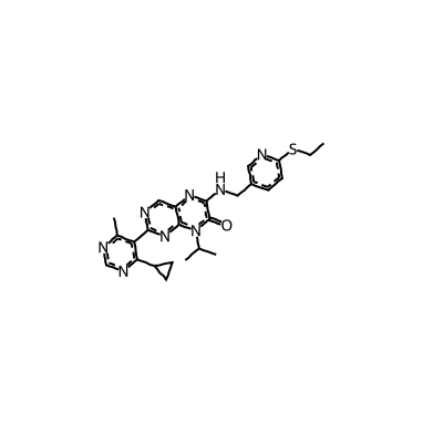 CCSc1ccc(CNc2nc3cnc(-c4c(C)ncnc4C4CC4)nc3n(C(C)C)c2=O)cn1